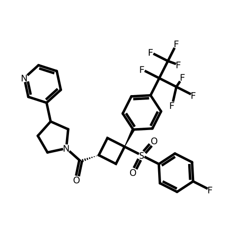 O=C([C@H]1C[C@@](c2ccc(C(F)(C(F)(F)F)C(F)(F)F)cc2)(S(=O)(=O)c2ccc(F)cc2)C1)N1CCC(c2cccnc2)C1